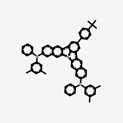 Cc1cc(C)cc(N(c2ccccc2)c2ccc3cc4c5cc(-c6ccc(C(C)(C)C)cc6)cc6c7cc8ccc(N(c9ccccc9)c9cc(C)cc(C)c9)cc8cc7n(c4cc3c2)c56)c1